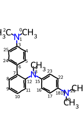 CN(C)c1ccc(-c2ccccc2N(C)c2ccc(N(C)C)cc2)cc1